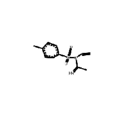 C=CN(C(C)=N)S(=O)(=O)c1ccc(C)cc1